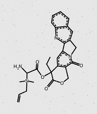 C=CC[Si](C)(C)C(N)C(=O)OC1(CC)C(=O)OCc2c1cc1n(c2=O)Cc2cc3ccccc3nc2-1